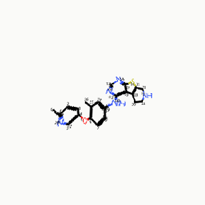 Cc1ccc(Oc2ccc(Nc3ncnc4sc5c(c34)CCNC5)cc2C)cn1